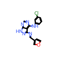 Clc1cccc(Nc2ncnc3[nH]nc(N=Cc4ccoc4)c23)c1